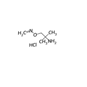 C=NOCC(C)(C)N.Cl